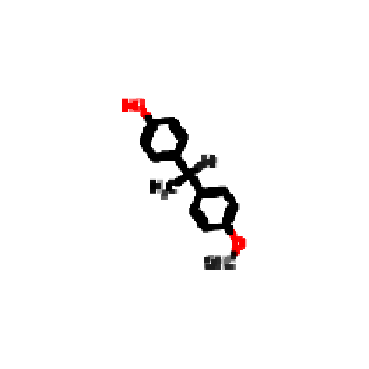 CCC(C)(c1ccc(O)cc1)c1ccc(OC=O)cc1